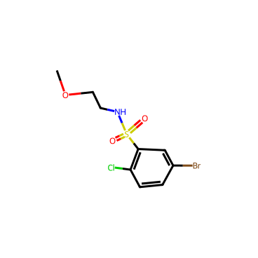 COCCNS(=O)(=O)c1cc(Br)ccc1Cl